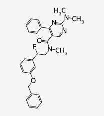 CN(CC(F)c1cccc(OCc2ccccc2)c1)C(=O)c1cnc(N(C)C)nc1-c1ccccc1